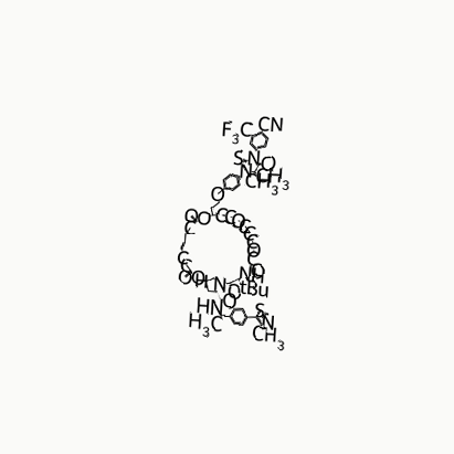 Cc1ncsc1-c1ccc([C@H](C)NC(=O)[C@@H]2C[C@@H]3CN2C(=O)[C@H](C(C)(C)C)NC(=O)COCCCOCCC(CCOc2ccc(N4C(=S)N(c5ccc(C#N)c(C(F)(F)F)c5)C(=O)C4(C)C)cc2)OC(=O)CC/C=C/CCC(=O)O3)cc1